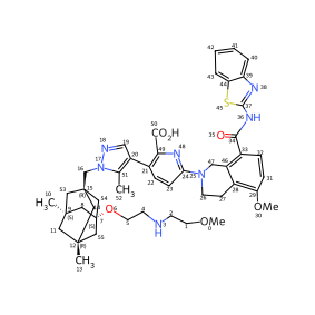 COCCNCCO[C@]12C[C@@]3(C)C[C@](C)(C[C@](Cn4ncc(-c5ccc(N6CCc7c(OC)ccc(C(=O)Nc8nc9ccccc9s8)c7C6)nc5C(=O)O)c4C)(C3)C1)C2